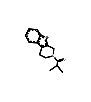 CC(C)C(=O)N1CCc2c([nH]c3ccccc23)C1